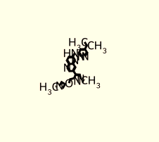 CC(C)c1cnnc(Nc2ccc3ncc(-c4cn(C)nc4COC4CN(C)C4)cc3n2)c1